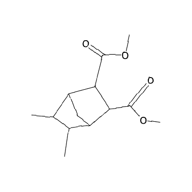 COC(=O)C1C2CC(C(C)C2C)C1C(=O)OC